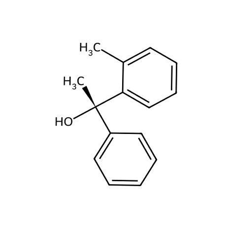 Cc1ccccc1[C@@](C)(O)c1ccccc1